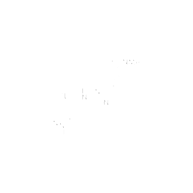 CNC(=O)c1cccc(-c2nsc(Nc3ccc4[nH]ncc4c3Cl)n2)c1